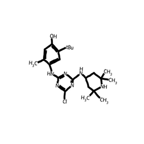 Cc1cc(O)c(C(C)(C)C)cc1Nc1nc(Cl)nc(NC2CC(C)(C)NC(C)(C)C2)n1